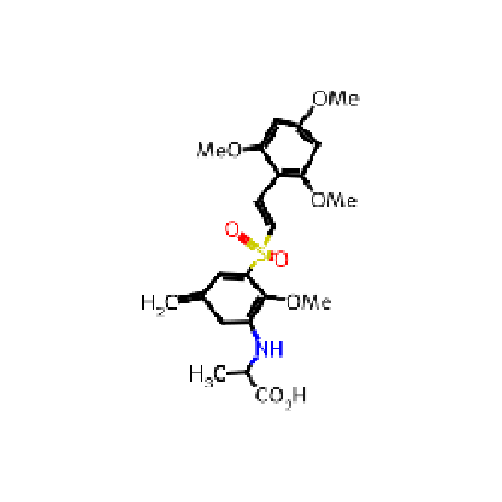 C=C1C=C(S(=O)(=O)C=Cc2c(OC)cc(OC)cc2OC)C(OC)=C(NC(C)C(=O)O)C1